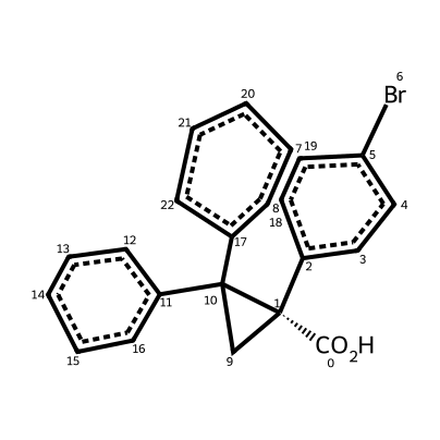 O=C(O)[C@]1(c2ccc(Br)cc2)CC1(c1ccccc1)c1ccccc1